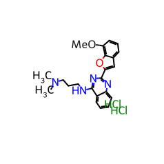 COc1cccc2cc(-c3nc(NCCCN(C)C)c4ccccc4n3)oc12.Cl.Cl